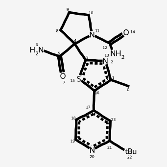 Cc1nc(C2(C(N)=O)CCCN2C(N)=O)sc1-c1ccnc(C(C)(C)C)c1